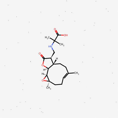 C/C1=C\CC[C@@]2(C)O[C@H]2[C@H]2OC(=O)[C@@H](CNC(C)(C)C(=O)O)[C@@H]2CC1